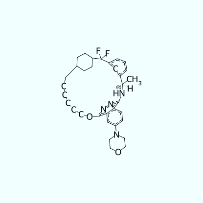 C[C@H]1Nc2nnc(c3cc(N4CCOCC4)ccc23)OCCCCCCC2CCC(CC2)C(F)(F)c2cccc1c2